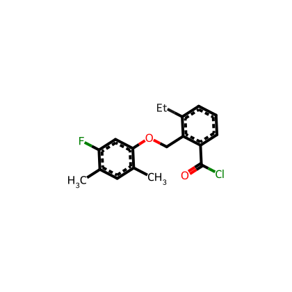 CCc1cccc(C(=O)Cl)c1COc1cc(F)c(C)cc1C